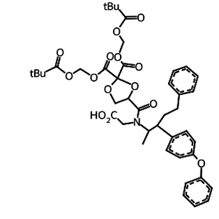 CC(C(CCc1ccccc1)c1ccc(Oc2ccccc2)cc1)N(CC(=O)O)C(=O)C1COC(C(=O)OCOC(=O)C(C)(C)C)(C(=O)OCOC(=O)C(C)(C)C)O1